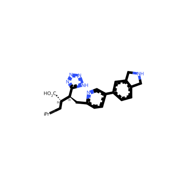 CC(C)C[C@H](C(=O)O)[C@H](Cc1ccc(-c2ccc3c(c2)CNC3)cn1)c1nnn[nH]1